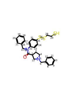 O=C(C1CCN(Cc2ccccc2)C1)N(Cc1ccccc1)c1ccc(SSCCS)cc1